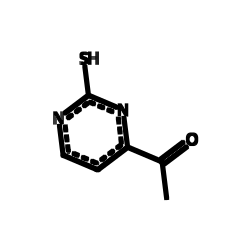 CC(=O)c1ccnc(S)n1